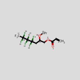 C=CC(=O)OCC(CC(F)(F)C(F)(F)C(F)(F)C(F)(F)F)OCCC